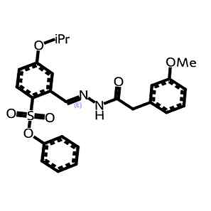 COc1cccc(CC(=O)N/N=C/c2cc(OC(C)C)ccc2S(=O)(=O)Oc2ccccc2)c1